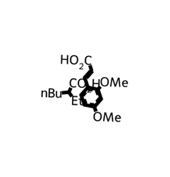 CCCCC(CC)C(=O)O.COc1ccc(C=CC(=O)O)c(OC)c1